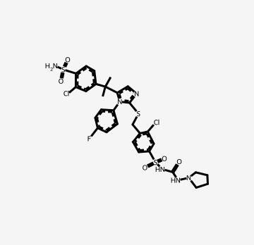 CC(C)(c1ccc(S(N)(=O)=O)c(Cl)c1)c1cnc(SCc2ccc(S(=O)(=O)NC(=O)NN3CCCC3)cc2Cl)n1-c1ccc(F)cc1